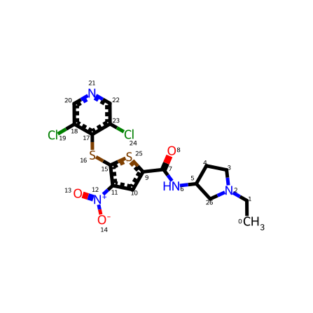 CCN1CCC(NC(=O)c2cc([N+](=O)[O-])c(Sc3c(Cl)cncc3Cl)s2)C1